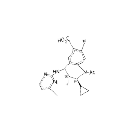 CC(=O)N1c2cc(F)c(C(=O)O)cc2C(Nc2nccc(C)n2)[C@@H](C)[C@@H]1C1CC1